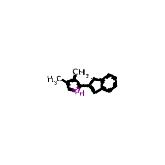 Cc1c[pH]c(C2=Cc3ccccc3[CH]2)c1C